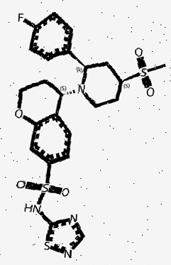 CS(=O)(=O)[C@H]1CCN([C@H]2CCOc3cc(S(=O)(=O)Nc4ncns4)ccc32)[C@@H](c2ccc(F)cc2)C1